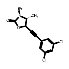 CC(C)N1C(=O)OC(C#Cc2cc(Cl)cc(Cl)c2)[C@H]1C